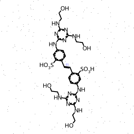 O=S(=O)(O)c1cc(Nc2nc(NCCO)nc(NCCO)n2)ccc1/C=C/c1ccc(Nc2nc(NCCO)nc(NCCO)n2)cc1S(=O)(=O)O